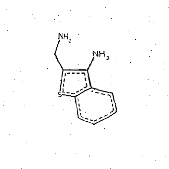 NCc1sc2ccccc2c1N